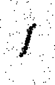 Fc1cc(-c2cc3cc4cc5sc(-c6ccc(-c7ccc(-c8cccs8)s7)c(F)c6)cc5cc4cc3s2)ccc1-c1ccc(-c2cccs2)s1